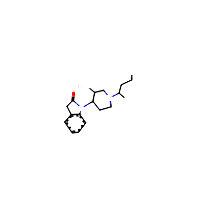 CC(C)CCC(C)N1CCC(N2C(=O)Cc3ccccc32)C(C)C1